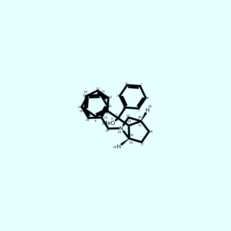 COC(c1ccccc1)(c1ccccc1)C1[C@H]2CC[C@@H]1N(Cc1ccccc1)C2